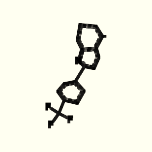 FC(F)(F)c1ccc(-c2ccc3[c]cccc3n2)cc1